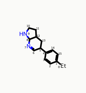 CCc1ccc(C2C=NC3NCCC3C2)cc1